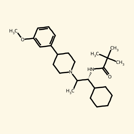 COc1cccc(C2CCN(C(C)[C@H](NC(=O)C(C)(C)C)C3CCCCC3)CC2)c1